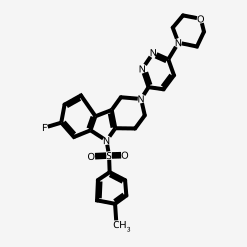 Cc1ccc(S(=O)(=O)n2c3c(c4ccc(F)cc42)CN(c2ccc(N4CCOCC4)nn2)CC3)cc1